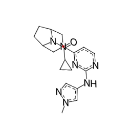 Cn1cc(Nc2nccc(N3CC4CCC(C3)N4C(=O)C3CC3)n2)cn1